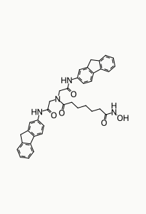 O=C(CCCCCC(=O)N(CC(=O)Nc1ccc2c(c1)Cc1ccccc1-2)CC(=O)Nc1ccc2c(c1)Cc1ccccc1-2)NO